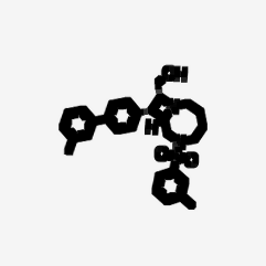 Cc1cccc(-c2ccc([C@H]3[C@H]4CN(S(=O)(=O)c5cccc(C)c5)CCCCN4[C@H]3CO)cc2)c1